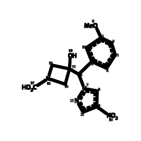 COc1cccc(C(n2cc([N+](=O)[O-])cn2)C2(O)CN(C(=O)O)C2)c1